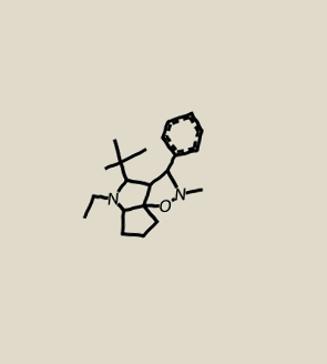 CCN1C(C(C)(C)C)C2C(c3ccccc3)N(C)OC23CCCC13